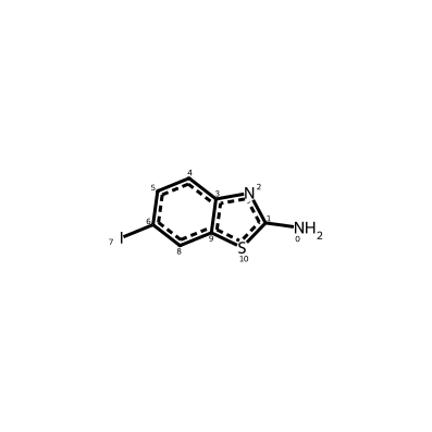 Nc1nc2ccc(I)cc2s1